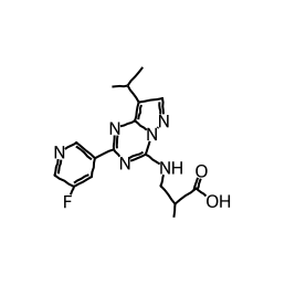 CC(CNc1nc(-c2cncc(F)c2)nc2c(C(C)C)cnn12)C(=O)O